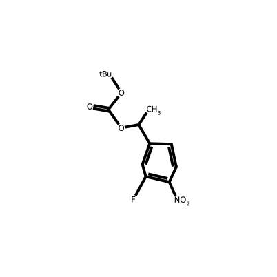 CC(OC(=O)OC(C)(C)C)c1ccc([N+](=O)[O-])c(F)c1